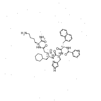 NCCCC[C@H](NC(=O)C[C@H](O)[C@H](CC1CCCCC1)NC(=O)[C@H](Cc1c[nH]cn1)NC(=O)[C@H](Cc1cccc2ccccc12)NC(=O)c1cccnc1)C(N)=O